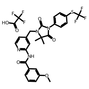 COc1cccc(C(=O)Nc2cc(CN3C(=O)N(c4ccc(SC(F)(F)F)cc4)C(=O)C3(C)C)ccn2)c1.O=C(O)C(F)(F)F